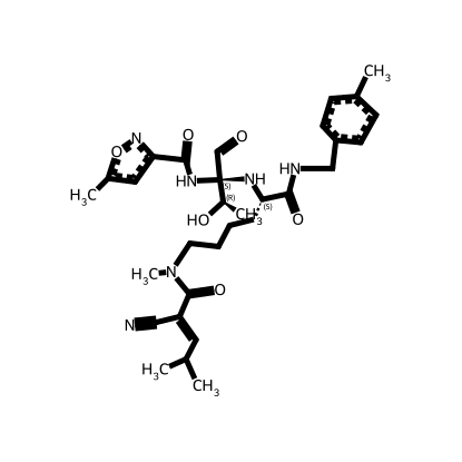 Cc1ccc(CNC(=O)[C@H](CCCCN(C)C(=O)C(C#N)=CC(C)C)N[C@](C=O)(NC(=O)c2cc(C)on2)[C@@H](C)O)cc1